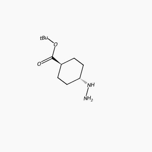 CC(C)(C)OC(=O)[C@H]1CC[C@H](NN)CC1